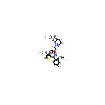 Cc1cc(Cl)ccc1C(=NOCCN1CCC[C@@H](C(=O)O)C1)c1sccc1C.Cl